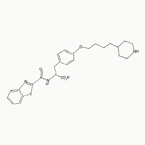 O=C(NC(Cc1ccc(OCCCCC2CCNCC2)cc1)C(=O)O)c1nc2ccccc2s1